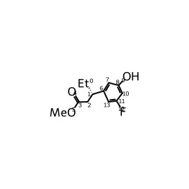 CC[C@@H](CC(=O)OC)c1cc(O)cc(F)c1